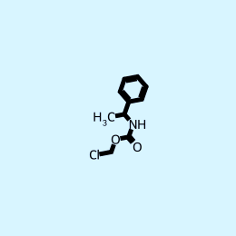 CC(NC(=O)OCCl)c1ccccc1